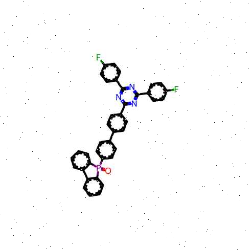 O=P1(c2ccc(-c3ccc(-c4nc(-c5ccc(F)cc5)nc(-c5ccc(F)cc5)n4)cc3)cc2)c2ccccc2-c2ccccc21